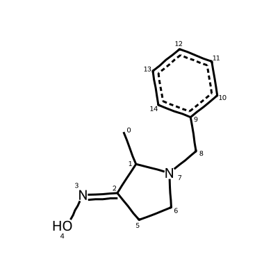 CC1C(=NO)CCN1Cc1ccccc1